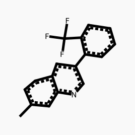 Cc1ccc2cc(-c3ccccc3C(F)(F)F)cnc2c1